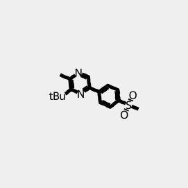 Cc1ncc(-c2ccc(S(C)(=O)=O)cc2)nc1C(C)(C)C